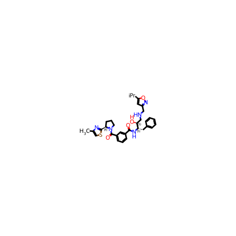 Cc1csc([C@H]2CCCN2C(=O)c2cccc(C(=O)N[C@@H](Cc3ccccc3)[C@@H](O)CNCc3cc(C(C)C)on3)c2)n1